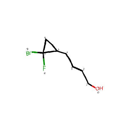 OCCCCC1CC1(F)Br